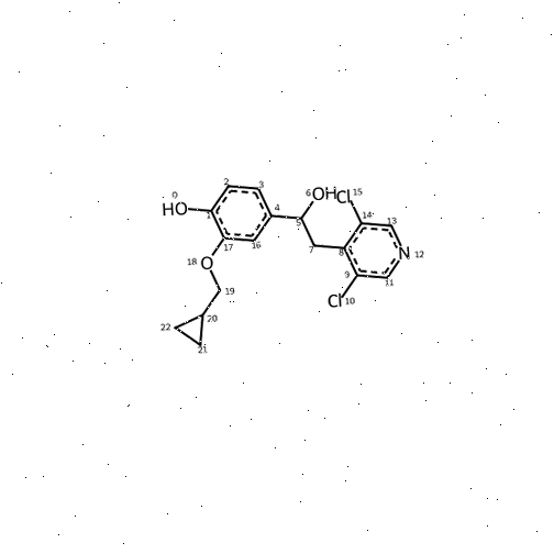 Oc1ccc(C(O)Cc2c(Cl)cncc2Cl)cc1OCC1CC1